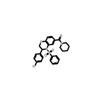 O=C(c1ccc2c(c1)N(S(=O)(=O)c1ccccc1)C(c1ccc(Cl)cc1)CO2)N1CCCCC1